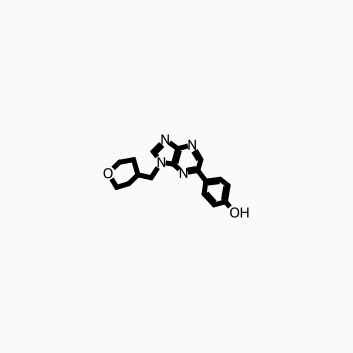 Oc1ccc(-c2cnc3ncn(CC4CCOCC4)c3n2)cc1